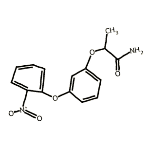 CC(Oc1cccc(Oc2ccccc2[N+](=O)[O-])c1)C(N)=O